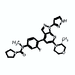 C[C@@H]1COCCN1c1cc(-c2ccc(N(C)C(=O)N3CCCC3)cc2F)c2cnn(-c3cc[nH]n3)c2n1